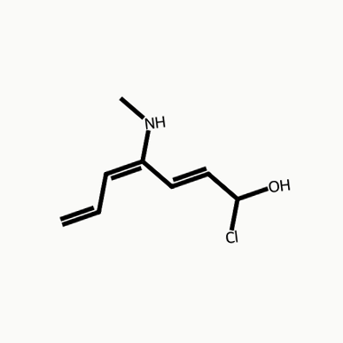 C=C/C=C(\C=C\C(O)Cl)NC